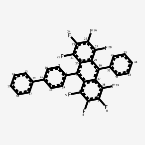 Fc1c(F)c(F)c2c(-c3ccc(-c4ccccc4)cc3)c3c(F)c(F)c(F)c(F)c3c(-c3ccccc3)c2c1F